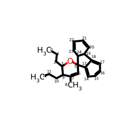 CCCC1OC2(C=C(C)C1CCC)c1ccccc1C1C=CC=CC12